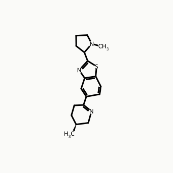 C[C@H]1CCC(c2ccc3sc(C4CCCN4C)nc3c2)=NC1